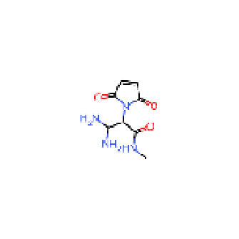 CNC(=O)C(C(N)N)N1C(=O)C=CC1=O